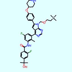 Cc1c(NC(=O)c2ccc(C(C)(C)O)cc2F)cc(F)cc1-c1ncnc2c1cc(-c1ccc(OC3CCNCC3)cc1)n2COCC[Si](C)(C)C